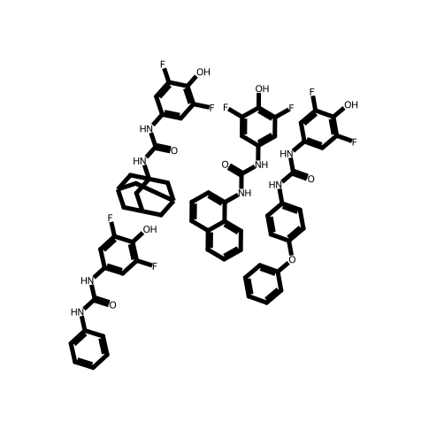 O=C(Nc1cc(F)c(O)c(F)c1)NC12CC3CC(CC(C3)C1)C2.O=C(Nc1cc(F)c(O)c(F)c1)Nc1cccc2ccccc12.O=C(Nc1ccc(Oc2ccccc2)cc1)Nc1cc(F)c(O)c(F)c1.O=C(Nc1ccccc1)Nc1cc(F)c(O)c(F)c1